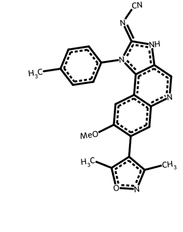 COc1cc2c(cc1-c1c(C)noc1C)ncc1[nH]c(=NC#N)n(-c3ccc(C)cc3)c12